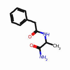 CC(NC(=O)[CH]c1ccccc1)C(N)=O